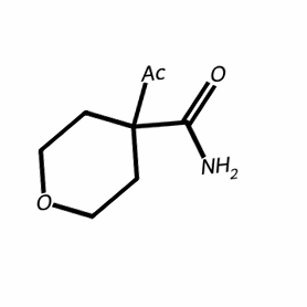 CC(=O)C1(C(N)=O)CCOCC1